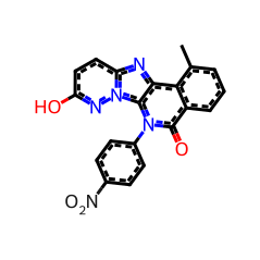 Cc1cccc2c(=O)n(-c3ccc([N+](=O)[O-])cc3)c3c(nc4ccc(O)nn43)c12